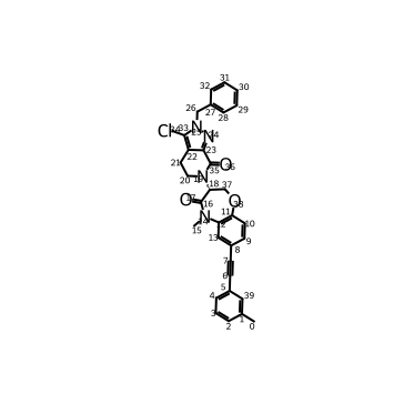 Cc1cccc(C#Cc2ccc3c(c2)N(C)C(=O)[C@H](N2CCc4c(nn(Cc5ccccc5)c4Cl)C2=O)CO3)c1